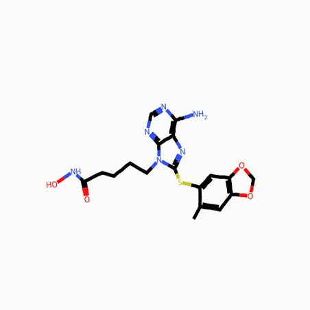 Cc1cc2c(cc1Sc1nc3c(N)ncnc3n1CCCCC(=O)NO)OCO2